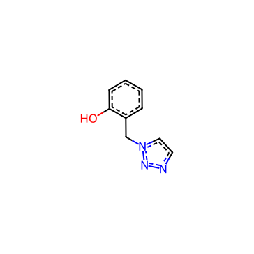 Oc1ccccc1Cn1ccnn1